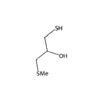 CSCC(O)CS